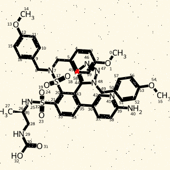 COc1ccc(CN(Cc2ccc(OC)cc2)S(=O)(=O)c2c(S(=O)(=O)N[C@H](C)CNC(=O)O)ccc(-c3ccc(N)nc3)c2-c2nnnn2Cc2ccc(OC)cc2)cc1